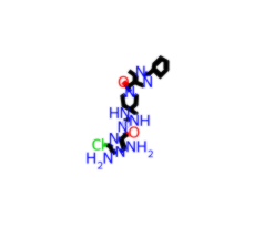 Cc1nc(-c2ccccc2)ncc1C(=O)N1CCC2(CC1)CN/C(=N\C(=O)c1nc(Cl)c(N)nc1N)N2